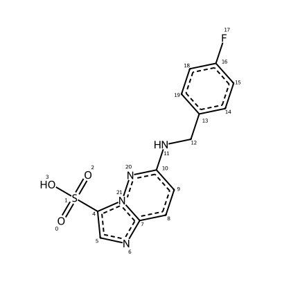 O=S(=O)(O)c1cnc2ccc(NCc3ccc(F)cc3)nn12